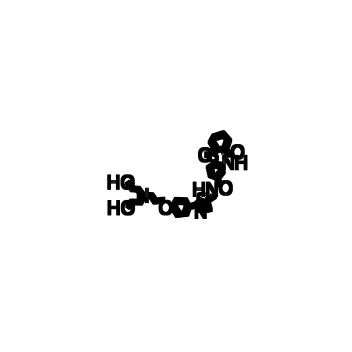 O=C(NCc1cnc(-c2ccc(OCCCN(CCO)CCO)cc2)s1)c1ccc2c(c1)NC(=O)c1ccccc1[S+]2[O-]